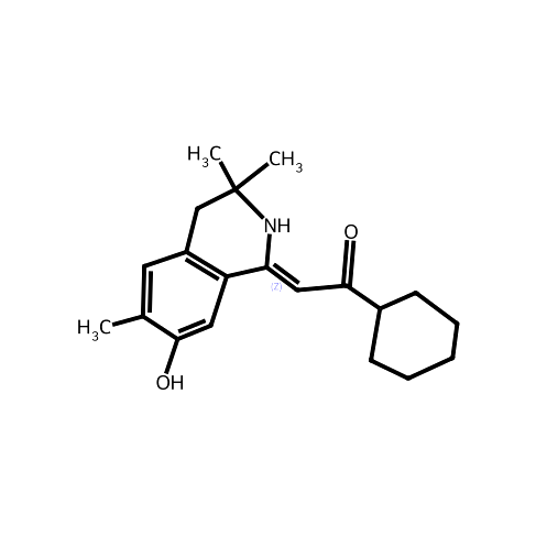 Cc1cc2c(cc1O)/C(=C/C(=O)C1CCCCC1)NC(C)(C)C2